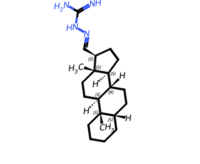 C[C@]12CCCC[C@H]1CC[C@@H]1[C@@H]2CC[C@]2(C)[C@@H](C=NNC(=N)N)CC[C@@H]12